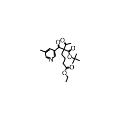 CCOC(=O)CCCC(C(C)=O)(C(=O)OC(C)(C)C)C(=O)c1cncc(C)c1